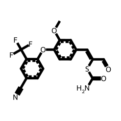 COc1cc(/C=C(/C=O)SC(N)=O)ccc1Oc1ccc(C#N)cc1C(F)(F)F